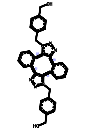 OCc1ccc(Cn2nnc3/c2=c2/cccc/c2=c2\nnn(Cc4ccc(CO)cc4)\c2=c2/cccc/c2=3)cc1